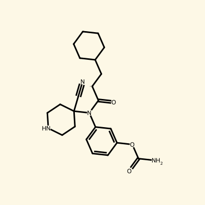 N#CC1(N(C(=O)[CH]CC2CCCCC2)c2cccc(OC(N)=O)c2)CCNCC1